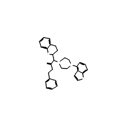 O=C(CCc1ccccc1)C(C1CCc2ccccc2N1)N1CCN(c2cccc3[nH]ccc23)CC1